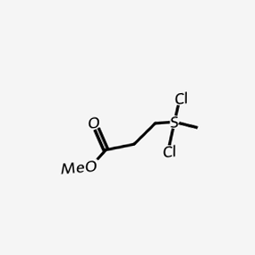 COC(=O)CCS(C)(Cl)Cl